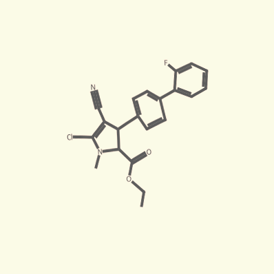 CCOC(=O)C1C(c2ccc(-c3ccccc3F)cc2)C(C#N)=C(Cl)N1C